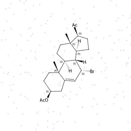 CC(=O)O[C@H]1CC[C@@]2(C)C(=C[C@@H](Br)[C@H]3[C@@H]4CC[C@H](C(C)=O)[C@@]4(C)CC[C@@H]32)C1